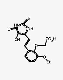 CCOc1cccc(/C=C/c2[nH]c(=S)[nH]c(=O)c2C#N)c1OCC(=O)O